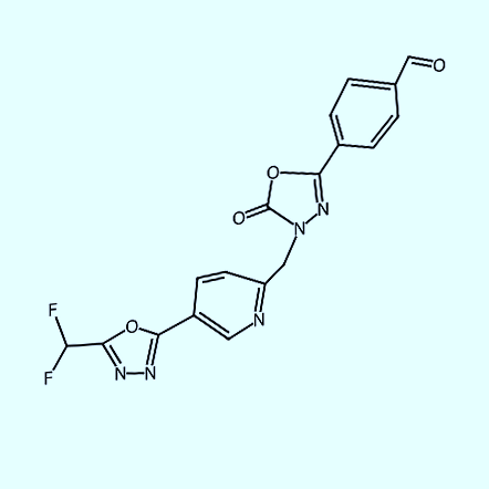 O=Cc1ccc(-c2nn(Cc3ccc(-c4nnc(C(F)F)o4)cn3)c(=O)o2)cc1